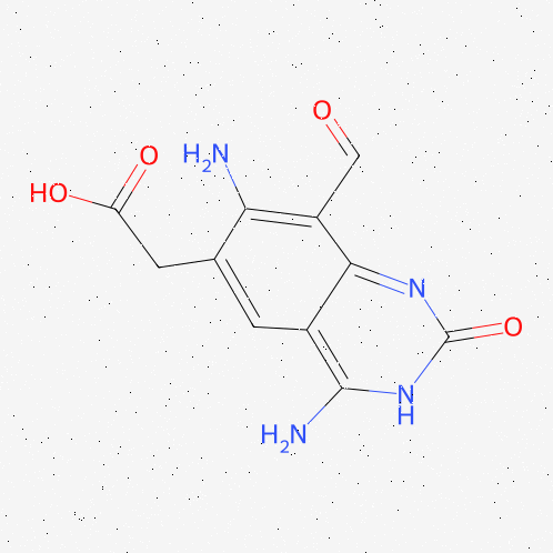 Nc1c(CC(=O)O)cc2c(N)[nH]c(=O)nc2c1C=O